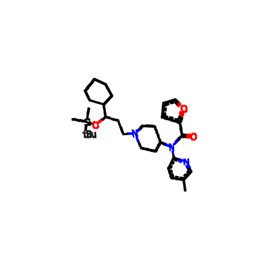 Cc1ccc(N(C(=O)c2ccco2)C2CCN(CCC(O[Si](C)(C)C(C)(C)C)C3CCCCC3)CC2)nc1